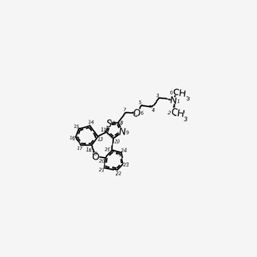 CN(C)CCCOCc1nc2c(s1)-c1ccccc1Oc1ccccc1-2